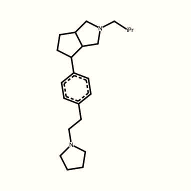 CC(C)CN1CC2CCC(c3ccc(CCN4CCCC4)cc3)C2C1